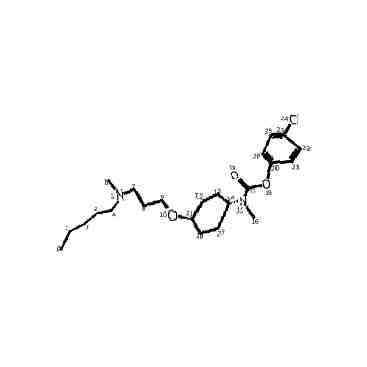 CCCCCN(C)CCCO[C@H]1CC[C@H](N(C)C(=O)Oc2ccc(Cl)cc2)CC1